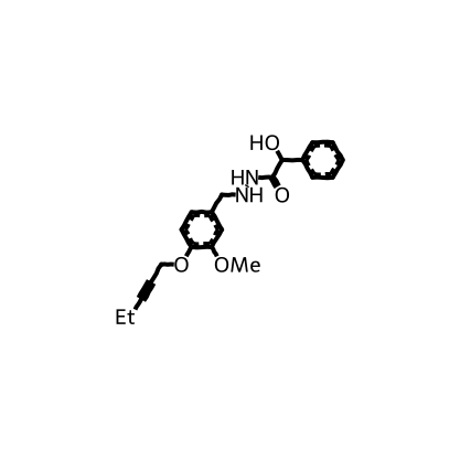 CCC#CCOc1ccc(CNNC(=O)C(O)c2ccccc2)cc1OC